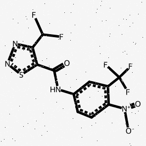 O=C(Nc1ccc([N+](=O)[O-])c(C(F)(F)F)c1)c1snnc1C(F)F